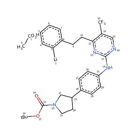 CC(=O)O.[Li][c]1ccccc1CCc1nc(Nc2ccc(C3CCN(C(=O)OC(C)(C)C)C3)cc2)ncc1C(F)(F)F